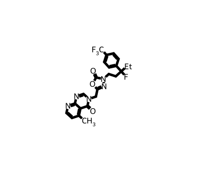 CCC(F)(CCn1nc(Cn2cnc3nccc(C)c3c2=O)oc1=O)c1ccc(C(F)(F)F)cc1